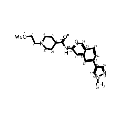 COCCN1CCC(C(=O)Nc2cc3cc(-c4cnn(C)c4)ccc3cn2)CC1